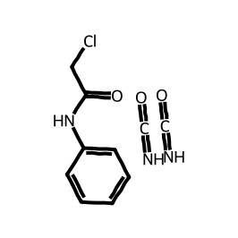 N=C=O.N=C=O.O=C(CCl)Nc1ccccc1